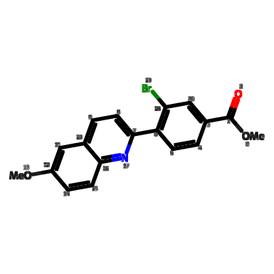 COC(=O)c1ccc(-c2ccc3cc(OC)ccc3n2)c(Br)c1